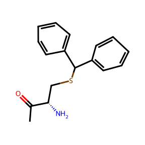 CC(=O)[C@@H](N)CSC(c1ccccc1)c1ccccc1